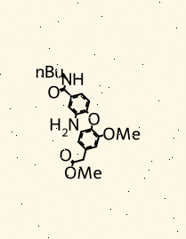 CCCCNC(=O)c1ccc(Oc2ccc(CC(=O)OC)cc2OC)c(N)c1